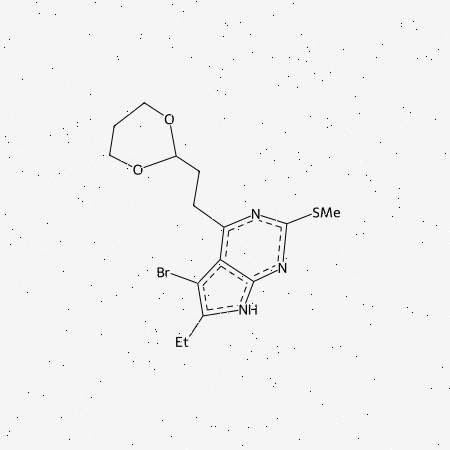 CCc1[nH]c2nc(SC)nc(CCC3OCCCO3)c2c1Br